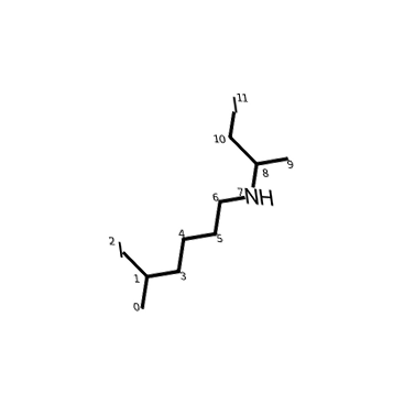 CC(I)CCCCNC(C)CI